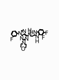 Fc1cccc(-n2cnc3c(NCC4Nc5ccc(F)c(F)c5N4)nc(N4CCOCC4)nc32)c1